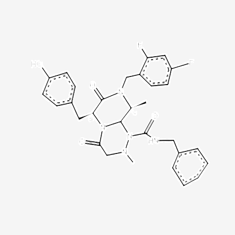 C[C@H]1C2N(C(=O)CN(C)N2C(=O)NCc2ccccc2)[C@@H](Cc2ccc(O)cc2)C(=O)N1Cc1ccc(F)cc1F